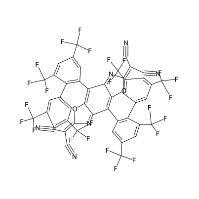 N#CC(C#N)=c1nc2c(-c3cc(C(F)(F)F)cc(C(F)(F)F)c3-c3cc(C(F)(F)F)cc(C(F)(F)F)c3)c3oc(=C(C#N)C#N)nc3c(-c3cc(C(F)(F)F)cc(C(F)(F)F)c3-c3cc(C(F)(F)F)cc(C(F)(F)F)c3)c2o1